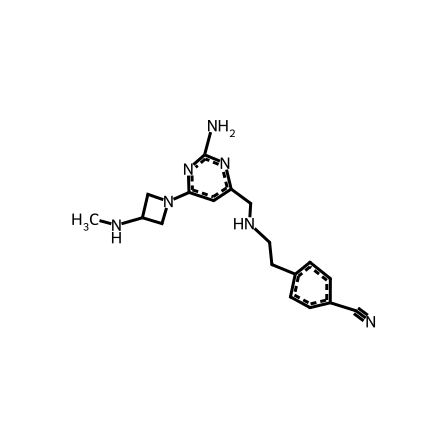 CNC1CN(c2cc(CNCCc3ccc(C#N)cc3)nc(N)n2)C1